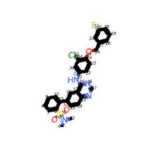 CN(C)S(=O)(=O)c1ccccc1-c1ccc2ncnc(Nc3ccc(OCc4cccc(F)c4)c(Cl)c3)c2c1